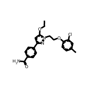 CCOc1cc(-c2ccc(C(N)=O)cc2)nn1CCOc1ccc(C)cc1Cl